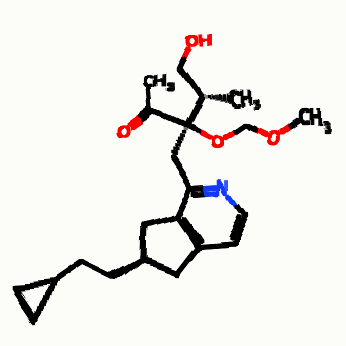 COCO[C@@](Cc1nccc2c1C[C@H](CCC1CC1)C2)(C(C)=O)[C@@H](C)CO